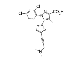 Cc1c(C(=O)O)nn(-c2ccc(Cl)cc2Cl)c1-c1ccc(C#CCN(C)C)s1